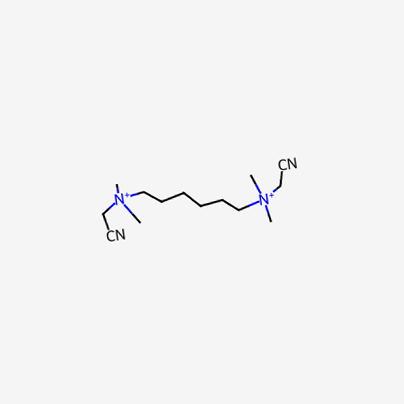 C[N+](C)(CC#N)CCCCCC[N+](C)(C)CC#N